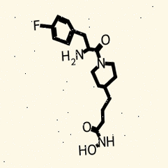 NC(Cc1ccc(F)cc1)C(=O)N1CCC(CCCC(=O)NO)CC1